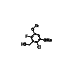 CCOc1cc(OC)c(Cl)c(CO)c1F